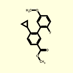 COC(=O)c1ccc(C2CC2)c(-c2cc(OC)ccc2F)c1